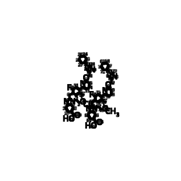 COCCn1c(Cc2cc(F)c(-c3cccc(OCc4cn(-c5ccccc5)cn4)n3)cc2F)nc2ccc(C(=O)O)cc21.COCCn1c(Cc2cc(F)c(-c3cccc(OCc4cn(-c5ccccc5)cn4)n3)cc2F)nc2ccc(C(=O)O)cc21